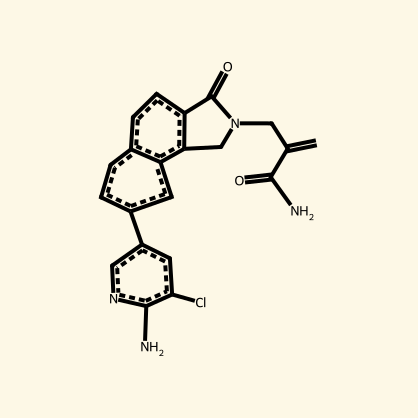 C=C(CN1Cc2c(ccc3ccc(-c4cnc(N)c(Cl)c4)cc23)C1=O)C(N)=O